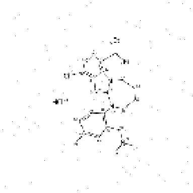 CCC(CC)c1ccc(Cl)c2nc3n(c12)CCCCN3c1ccc(C)cc1CN(C)C.Cl